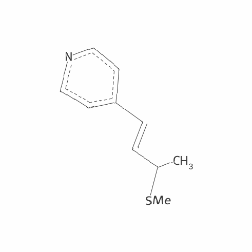 CSC(C)/C=C/c1ccncc1